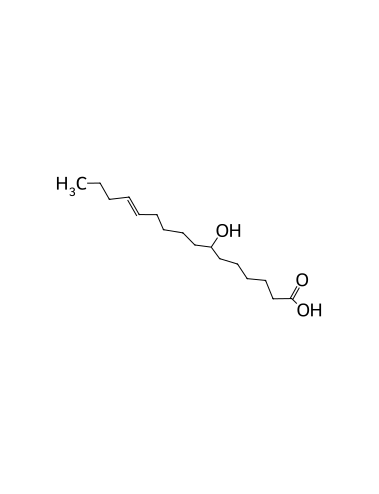 CCCC=CCCCCC(O)CCCCCC(=O)O